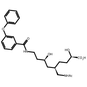 CC(=O)NC[C@H](CC[C@@H](O)C(=O)O)C[C@H](O)CCNC(=O)c1cccc(Oc2ccccc2)c1